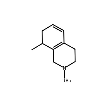 CC1CC=CC2=C1CN(C(C)(C)C)CC2